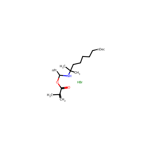 Br.C=C(C)C(=O)OC(CCC)NC(C)(C)CCCCCCCCCCCCCCC